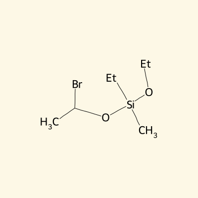 CCO[Si](C)(CC)OC(C)Br